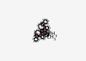 C[SiH](C)[Zr]([Cl])([Cl])([CH]1C(CC2(C)CCCCCCCC2)=Cc2c(-c3cccc4ccccc34)cccc21)[CH]1C(CC2(C)CCCCCCCC2)=Cc2c(-c3cccc4ccccc34)cccc21